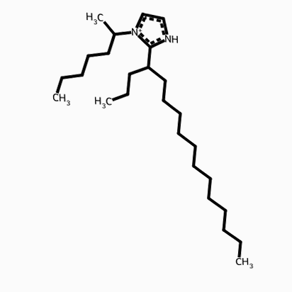 CCCCCCCCCCCCC(CCC)c1[nH]cc[n+]1C(C)CCCCC